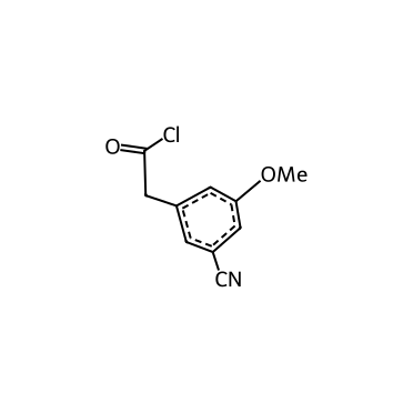 COc1cc(C#N)cc(CC(=O)Cl)c1